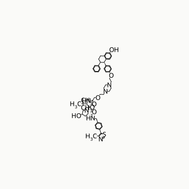 Cc1ncsc1-c1ccc(CNC(=O)[C@@H]2C[C@@H](O)CN2C(=O)[C@@H](NC(=O)COCCN2CCN(CCOc3ccc([C@@H]4c5ccc(O)cc5CCC4c4ccccc4)cc3)CC2)C(C)(C)C)cc1